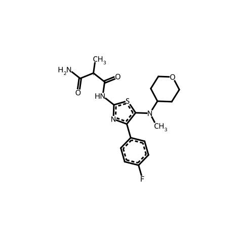 C[C](C(N)=O)C(=O)Nc1nc(-c2ccc(F)cc2)c(N(C)C2CCOCC2)s1